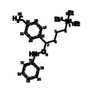 CC[N+](CC)(CC)CCCC(ONc1ccccc1)c1ccc(C)cc1